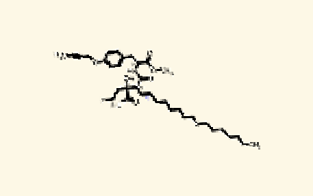 CC#CCOc1ccc(C[C@H](NC(=O)[C@@H](/C=C/CCCCCCSCCCCCCC)[C@@](O)(CCF)C(=O)O)C(=O)OC)cc1